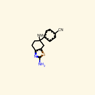 CNC1(c2ccc(C#N)cc2)CCc2nc(N)sc2C1